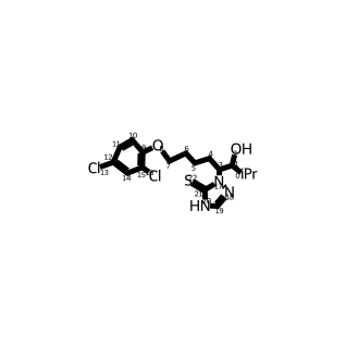 CC(C)C(O)C(CCCCOc1ccc(Cl)cc1Cl)n1nc[nH]c1=S